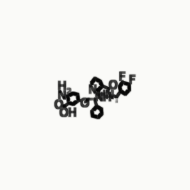 C[C@H](NC(=O)c1cccnc1N[C@H](COc1ccc(N)c(C(=O)O)c1)c1ccccc1)c1ccc(F)c(F)c1